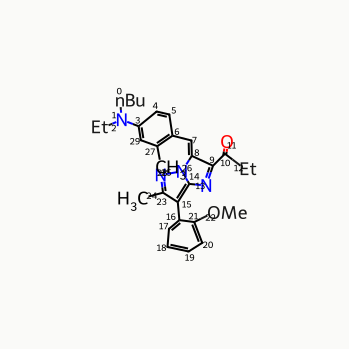 CCCCN(CC)c1ccc(/C=c2/c(C(=O)CC)nc3c(-c4ccccc4OC)c(C)nn23)c(C)c1